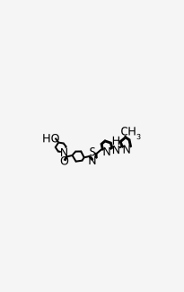 Cc1ccnc(Nc2cccc(-c3cnc(C4CCC(C(=O)N5CCC(O)CC5)CC4)s3)n2)c1